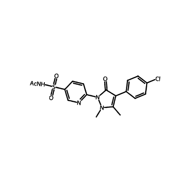 CC(=O)NS(=O)(=O)c1ccc(-n2c(=O)c(-c3ccc(Cl)cc3)c(C)n2C)nc1